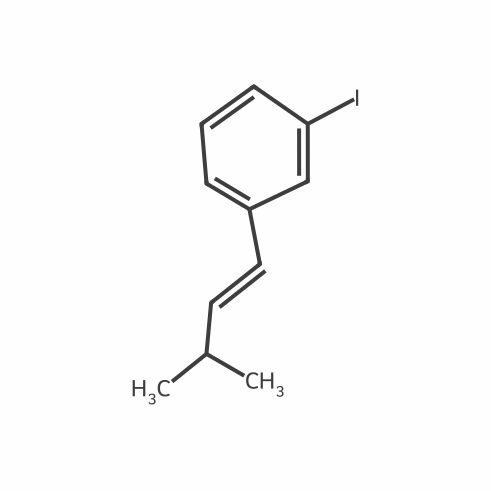 CC(C)/C=C/c1cccc(I)c1